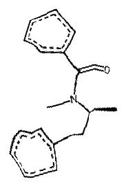 C[C@@H](Cc1ccccc1)N(C)C(=O)c1ccccc1